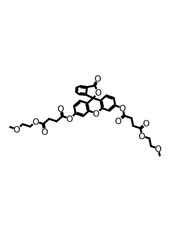 COCCOC(=O)CCC(=O)Oc1ccc2c(c1)Oc1cc(OC(=O)CCC(=O)OCCOC)ccc1C21OC(=O)c2ccccc21